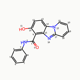 O=C(Nc1ccccc1)c1c(O)ccc2c1nc1ccccn12